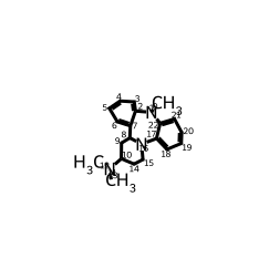 CN1c2ccccc2C2CC(N(C)C)CCN2c2ccccc21